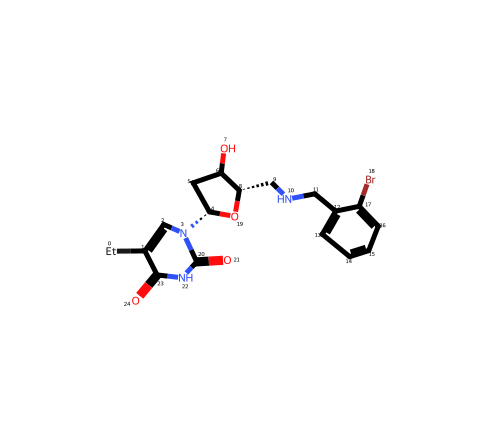 CCc1cn([C@@H]2CC(O)[C@H](CNCc3ccccc3Br)O2)c(=O)[nH]c1=O